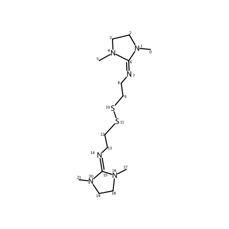 CN1CCN(C)C1=NCCSSCCN=C1N(C)CCN1C